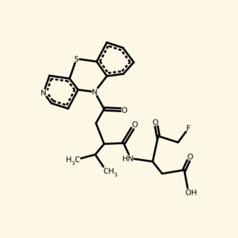 CC(C)C(CC(=O)N1c2ccccc2Sc2cnccc21)C(=O)NC(CC(=O)O)C(=O)CF